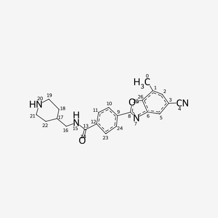 Cc1cc(C#N)cc2nc(-c3ccc(C(=O)NCC4CCNCC4)cc3)oc12